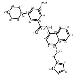 O=C(Nc1ccc(OCc2ccco2)c2ccccc12)c1cc(F)cc(N2CCOCC2)c1